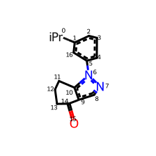 CC(C)c1cccc(-n2ncc3c2CCCC3=O)c1